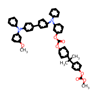 COC(=O)Oc1ccc(C(C)(C)c2ccc(OC(=O)Oc3cccc(N(c4ccccc4)c4ccc(-c5ccc(N(c6ccccc6)c6cccc(OC)c6)cc5)cc4)c3)cc2)cc1